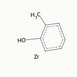 Cc1ccccc1O.[Zr]